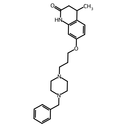 CC1CC(=O)Nc2cc(OCCCN3CCN(Cc4ccccc4)CC3)ccc21